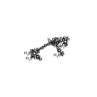 COC1=CC(=O)c2c(c(CO[C@@H]3C[C@@H](C(=O)NCc4ccc(-c5scnc5C)cc4)N(C(=O)[C@@H](NC(=O)COCCOCCOCCNC(=O)C[C@@H]4N=C(c5ccc(Cl)cc5)c5c(sc(C)c5C)-n5c(C)nnc54)C(C)(C)C)C3)c(C)n2C)C1=O